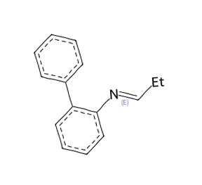 CC/C=N/c1ccccc1-c1ccccc1